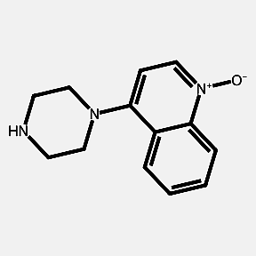 [O-][n+]1ccc(N2CCNCC2)c2ccccc21